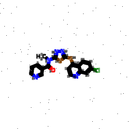 CN(C(=O)c1cccnc1)c1nnc(Sc2ccnc3cc(Cl)ccc23)s1